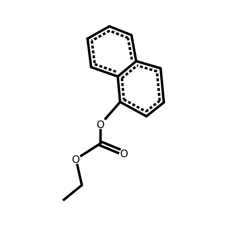 CCOC(=O)Oc1cccc2ccccc12